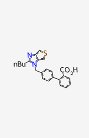 CCCCc1nc2cscc2n1Cc1ccc(-c2ccccc2C(=O)O)cc1